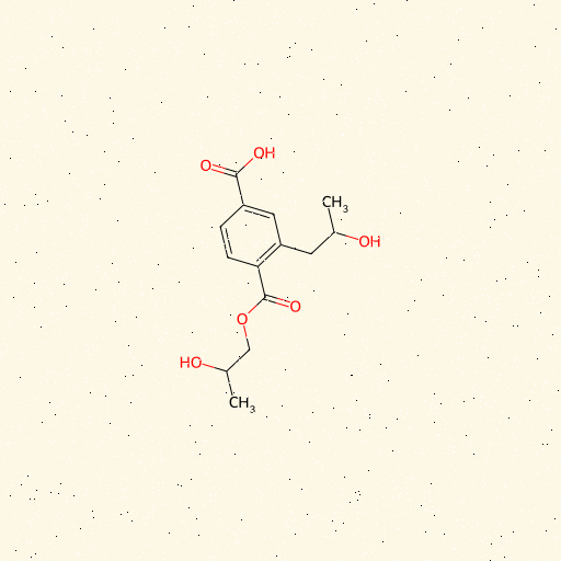 CC(O)COC(=O)c1ccc(C(=O)O)cc1CC(C)O